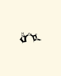 CN1CC(Oc2ccc[nH]2)C1